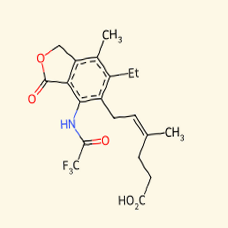 CCc1c(C)c2c(c(NC(=O)C(F)(F)F)c1CC=C(C)CCC(=O)O)C(=O)OC2